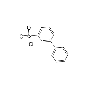 O=S(=O)(Cl)c1cccc(-c2ccccc2)c1